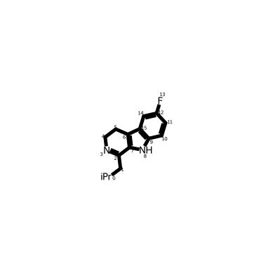 CC(C)CC1=NCCc2c1[nH]c1ccc(F)cc21